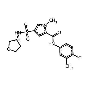 Cc1cc(NC(=O)c2cc(S(=O)(=O)N[C@H]3CCOC3)cn2C)ccc1F